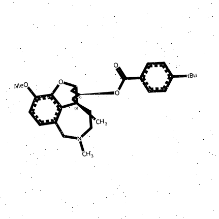 COc1ccc2c3c1OC1C[C@@H](OC(=O)c4ccc(C(C)(C)C)cc4)C(C)[C@@]31CCN(C)C2